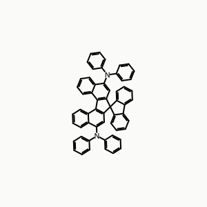 c1ccc(N(c2ccccc2)c2cc3c(c4ccccc24)-c2c(cc(N(c4ccccc4)c4ccccc4)c4ccccc24)C32c3ccccc3-c3ccccc32)cc1